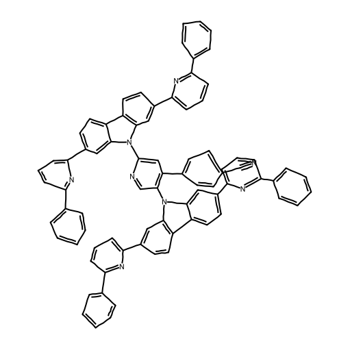 N#Cc1ccc(-c2cc(-n3c4cc(-c5cccc(-c6ccccc6)n5)ccc4c4ccc(-c5cccc(-c6ccccc6)n5)cc43)ncc2-n2c3cc(-c4cccc(-c5ccccc5)n4)ccc3c3ccc(-c4cccc(-c5ccccc5)n4)cc32)cc1